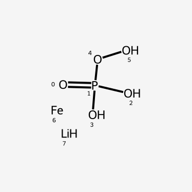 O=P(O)(O)OO.[Fe].[LiH]